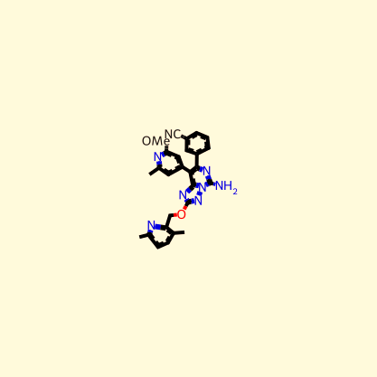 COc1cc(-c2c(-c3cccc(C#N)c3)nc(N)n3nc(OCc4nc(C)ccc4C)nc23)cc(C)n1